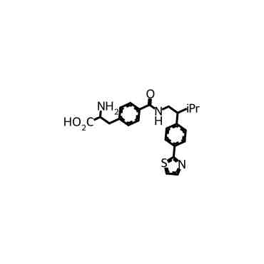 CC(C)C(CNC(=O)c1ccc(CC(N)C(=O)O)cc1)c1ccc(-c2nccs2)cc1